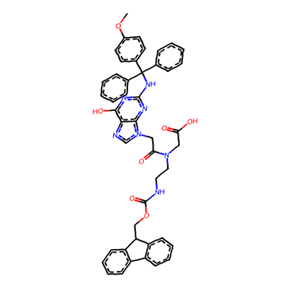 COc1ccc(C(Nc2nc(O)c3ncn(CC(=O)N(CCNC(=O)OCC4c5ccccc5-c5ccccc54)CC(=O)O)c3n2)(c2ccccc2)c2ccccc2)cc1